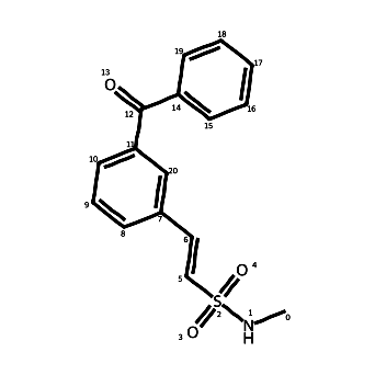 CNS(=O)(=O)/C=C/c1cccc(C(=O)c2ccccc2)c1